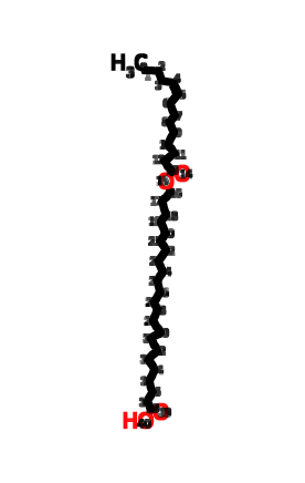 CCCC/C=C\CCCCCCCC(=O)OCCCCCCCCCCCCCCCCCCCCCCC(=O)O